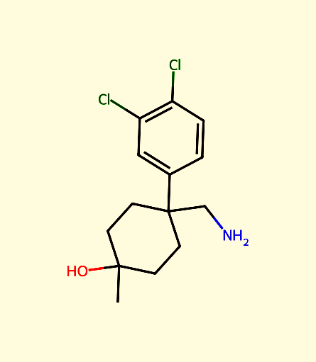 CC1(O)CCC(CN)(c2ccc(Cl)c(Cl)c2)CC1